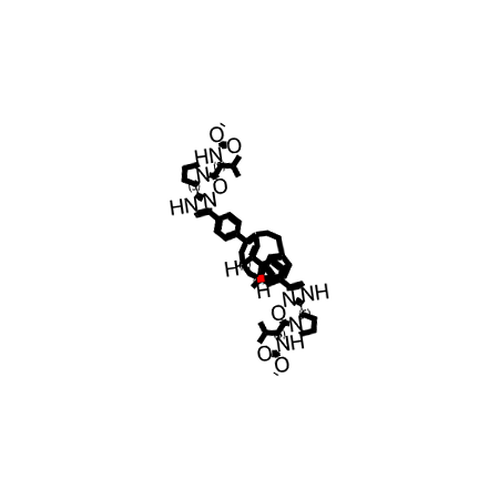 COC(=O)N[C@H](C(=O)N1CCC[C@H]1c1nc(-c2ccc(C3=CC4=C(c5ccc(-c6c[nH]c([C@@H]7CCCN7C(=O)[C@@H](NC(=O)OC)C(C)C)n6)cc5)C[C@@H]3C[C@@H](C)c3ccc(cc3)CC4)cc2)c[nH]1)C(C)C